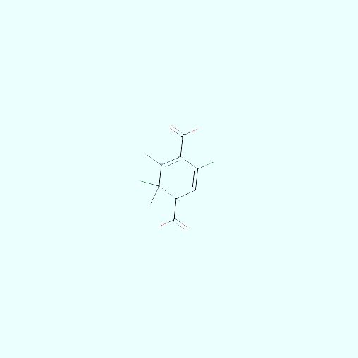 CC1=C(C(=O)O)C(Cl)=CC(C(=O)O)C1(C)Cl